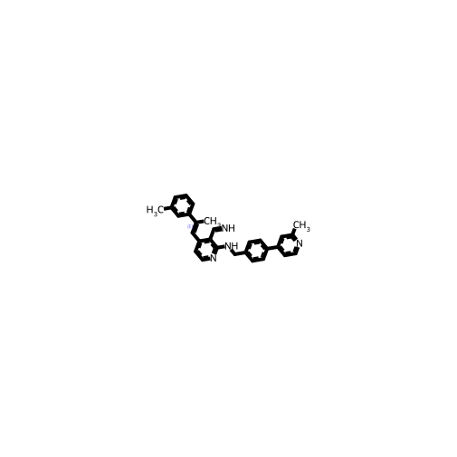 C/C(=C\c1ccnc(NCc2ccc(-c3ccnc(C)c3)cc2)c1C=N)c1cccc(C)c1